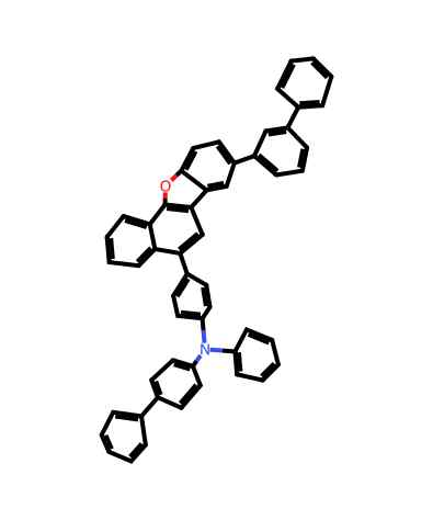 c1ccc(-c2ccc(N(c3ccccc3)c3ccc(-c4cc5c6cc(-c7cccc(-c8ccccc8)c7)ccc6oc5c5ccccc45)cc3)cc2)cc1